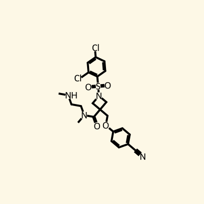 CNCCN(C)C(=O)C1(COc2ccc(C#N)cc2)CN(S(=O)(=O)c2ccc(Cl)cc2Cl)C1